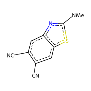 CNc1nc2cc(C#N)c(C#N)cc2s1